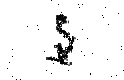 CC[N+](CC)=c1ccc2c(C(C)(C)C)cc(/C=C/C=C3/N(CCCSOOO)c4ccc(S(=O)(=O)O)cc4C3(C)CCCC(=O)NCCNC(=O)c3cccc(OCC(N=[N+]=[N-])OCCOCC(=O)NCC#Cc4cn([C@H]5C[C@@H](OCN=[N+]=[N-])[C@@H](COP(=O)(O)OP(=O)(O)OP(=O)(O)O)O5)c(=O)nc4N)c3)oc-2c1